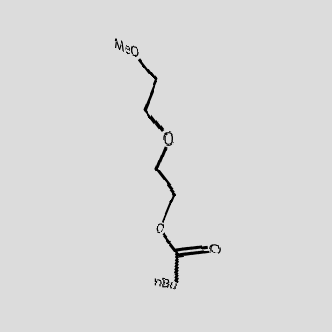 CCCCC(=O)OCCOCCOC